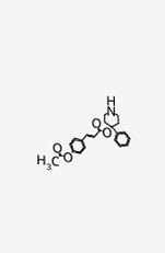 CC(=O)Oc1ccc(/C=C/C(=O)OC2(c3ccccc3)CCNCC2)cc1